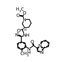 COC(=O)N1CCC[C@@H](C2NC(c3ccc(C)c(NC(=O)c4cnc5ccccn45)c3)=NO2)C1